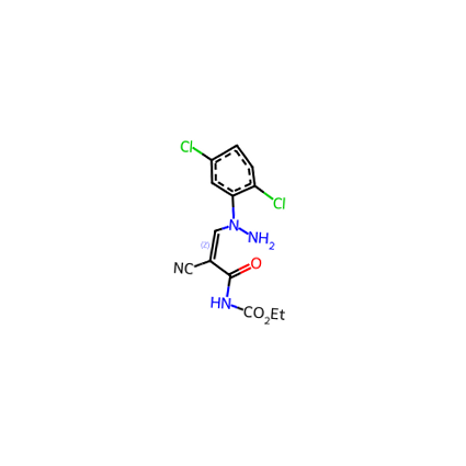 CCOC(=O)NC(=O)/C(C#N)=C\N(N)c1cc(Cl)ccc1Cl